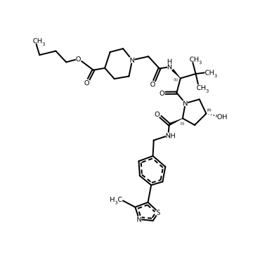 CCCCOC(=O)C1CCN(CC(=O)N[C@H](C(=O)N2C[C@H](O)C[C@H]2C(=O)NCc2ccc(-c3scnc3C)cc2)C(C)(C)C)CC1